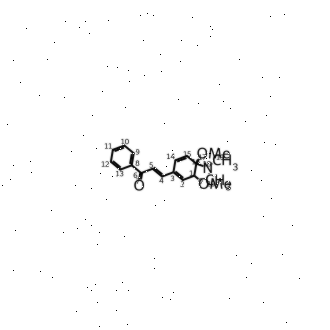 COC1C=C(C=CC(=O)c2ccccc2)C=CC1(OC)N(C)C